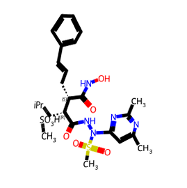 CS(=O)(=O)O.Cc1cc(N(NC(=O)[C@H](CC(C)C)[C@H](CC=Cc2ccccc2)C(=O)NO)S(C)(=O)=O)nc(C)n1